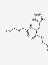 NCCCC(=O)NC(Cc1cnc[nH]1)C(=O)SCCN